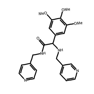 COc1cc(C(NCc2cccnc2)C(=O)NCc2ccncc2)cc(OC)c1OC